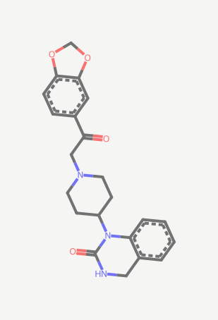 O=C(CN1CCC(N2C(=O)NCc3ccccc32)CC1)c1ccc2c(c1)OCO2